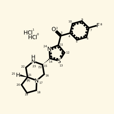 Cl.Cl.O=C(c1ccc(F)cc1)c1csc([C@@H]2CN3CCC[C@@H]3CN2)n1